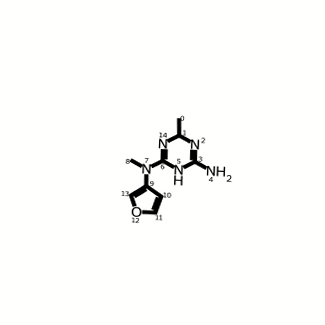 CC1N=C(N)NC(N(C)c2ccoc2)=N1